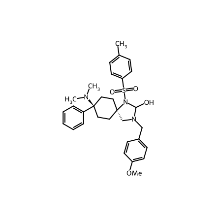 COc1ccc(CN2C[C@]3(CC[C@](c4ccccc4)(N(C)C)CC3)N(S(=O)(=O)c3ccc(C)cc3)C2O)cc1